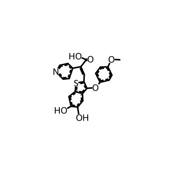 COc1ccc(Oc2c(/C=C(/C(=O)O)c3ccncc3)sc3cc(O)c(O)cc23)cc1